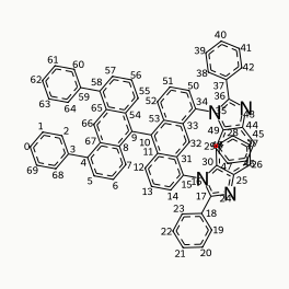 c1ccc(-c2cccc3c(-c4c5cccc(-n6c(-c7ccccc7)nc7ccccc76)c5cc5c(-n6c(-c7ccccc7)nc7ccccc76)cccc45)c4cccc(-c5ccccc5)c4cc23)cc1